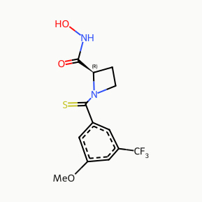 COc1cc(C(=S)N2CC[C@@H]2C(=O)NO)cc(C(F)(F)F)c1